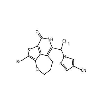 CC(c1[nH]c(=O)c2sc(Br)c3c2c1CCCO3)n1cc(C#N)cn1